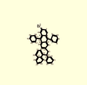 Brc1ccc2c(-c3ccccc3)c3cc(CC(c4ccccc4)c4cccc5ccccc45)ccc3c(-c3ccccc3)c2c1